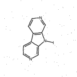 In1c2cnccc2c2ccncc21